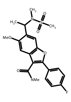 CNC(=O)c1c(-c2ccc(F)cc2)oc2cc(C(C)N(C)S(C)(=O)=O)c(OC)cc12